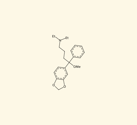 CCN(CC)CCCC(OC)(c1ccccc1)c1ccc2c(c1)OCO2